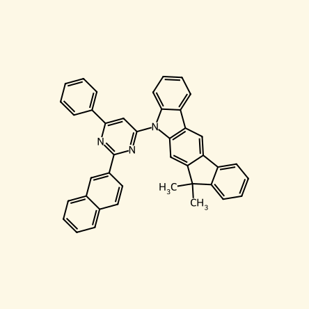 CC1(C)c2ccccc2-c2cc3c4ccccc4n(-c4cc(-c5ccccc5)nc(-c5ccc6ccccc6c5)n4)c3cc21